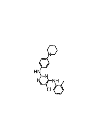 Cc1ccccc1Nc1nc(Nc2ccc(N3CCCCC3)cc2)ncc1Cl